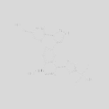 COc1ccc(-c2n[nH]cc2-c2ccc3ncnc(-c4ccc(S(C)(=O)=O)s4)c3c2)cc1.Cl.Cl